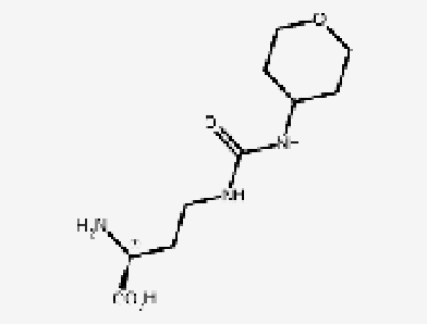 N[C@@H](CCNC(=O)NC1CCOCC1)C(=O)O